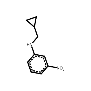 O=[N+]([O-])c1cccc(NCC2CC2)c1